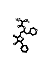 CC(C)C(=O)OC(CN1CCOCC1)Cn1oc(-c2ccccc2)c(Cl)c1=O